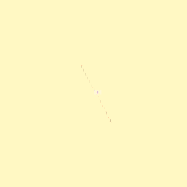 CC(=O)CCOCCOCCOCCOCCNC(=O)CCCCCCCCCCCCC(=O)O